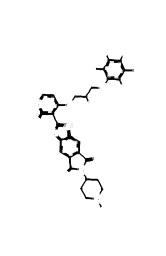 CN1CCC(N2C(=O)c3cc4nc(-c5c(NCC(O)COc6c(F)c(F)c(F)c(F)c6F)cc[nH]c5=O)[nH]c4cc3C2=O)CC1